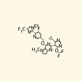 CCn1cc(C(F)(F)F)nc1-c1ncc(COc2nc(-c3c(OC(F)F)ncnc3C3CC3)nc3ccn(C)c23)cc1F